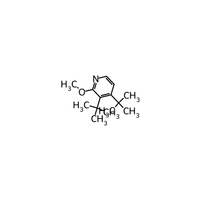 COc1nccc(C(C)(C)C)c1C(C)(C)C